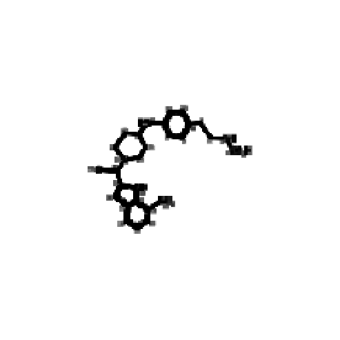 O=C(O)NCCc1ccc(NC2CCN(C(=O)c3cc4cccc([N+](=O)[O-])c4[nH]3)CC2)cc1